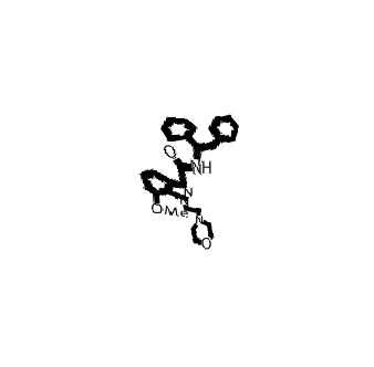 COc1cccc2c(C(=O)NC(Cc3ccccc3)c3ccccc3)nn(CCN3CCOCC3)c12